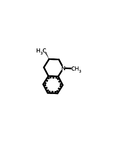 C[C@H]1Cc2ccccc2N(C)C1